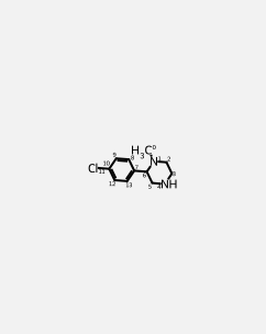 CN1CCNCC1c1ccc(Cl)cc1